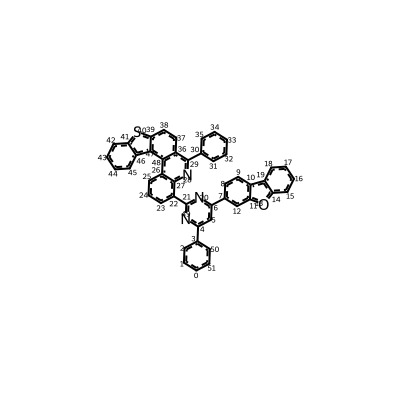 c1ccc(-c2cc(-c3ccc4c(c3)oc3ccccc34)nc(-c3cccc4c3nc(-c3ccccc3)c3ccc5sc6ccccc6c5c34)n2)cc1